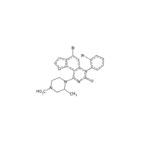 CC(C)c1ccccc1-n1c(=O)nc(N2CCN(C(=O)O)CC2C)c2c3occc3c(Br)cc21